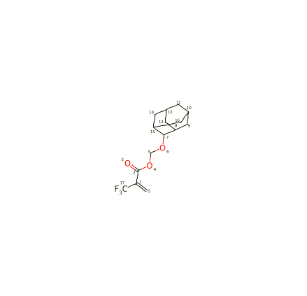 C=C(C(=O)OCOC1C2CC3CC(C2)CC1C3)C(F)(F)F